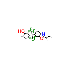 CCC(C)C1=NC2CCC(C(C3CCC(C)C(O)C3)(C(F)(F)F)C(F)(F)F)CC2O1